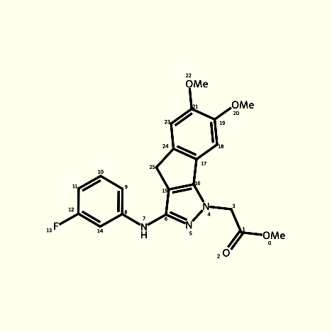 COC(=O)Cn1nc(Nc2cccc(F)c2)c2c1-c1cc(OC)c(OC)cc1C2